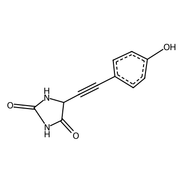 O=C1NC(=O)C(C#Cc2ccc(O)cc2)N1